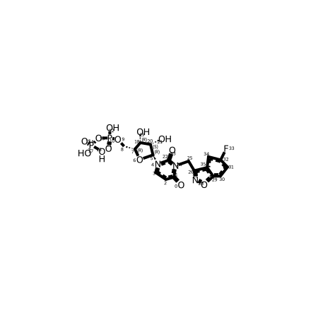 O=c1ccn([C@@H]2O[C@H](COP(=O)(O)OP(=O)(O)O)[C@H](O)[C@@H]2O)c(=O)n1Cc1noc2ccc(F)cc12